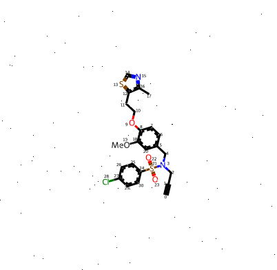 C#CCN(Cc1ccc(OCCc2scnc2C)c(OC)c1)S(=O)(=O)c1ccc(Cl)cc1